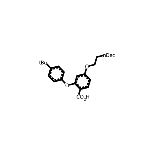 CCCCCCCCCCCCOc1ccc(C(=O)O)c(Oc2ccc(C(C)(C)C)cc2)c1